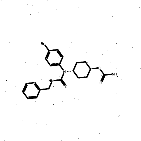 NC(=O)O[C@H]1CC[C@H](N(C(=O)NCc2ccccc2)c2ccc(Br)cc2)CC1